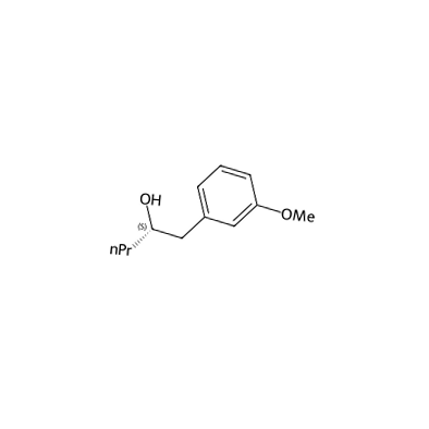 CCC[C@H](O)Cc1cccc(OC)c1